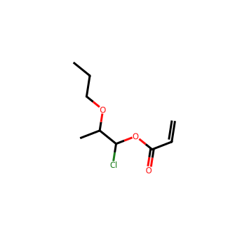 C=CC(=O)OC(Cl)C(C)OCCC